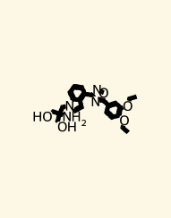 CCOc1ccc(-c2nc(-c3cccc4c3ccn4CC(N)(CO)CO)no2)cc1OCC